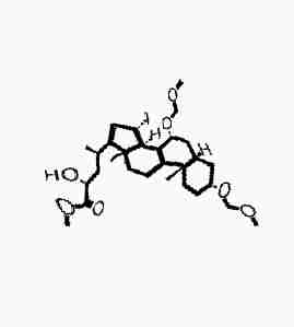 COCO[C@@H]1CC[C@]2(C)C3CC[C@]4(C)C([C@H](C)C[C@@H](O)C(=O)OC)=C[C@H](I)[C@H]4C3[C@H](OCOC)C[C@@H]2C1